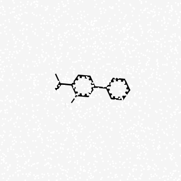 CC(=O)c1ccc(-c2ccccc2)cc1Br